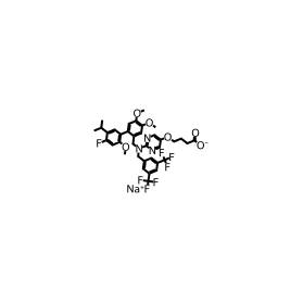 COc1cc(CN(Cc2cc(C(F)(F)F)cc(C(F)(F)F)c2)c2ncc(OCCCC(=O)[O-])cn2)c(-c2cc(C(C)C)c(F)cc2OC)cc1OC.[Na+]